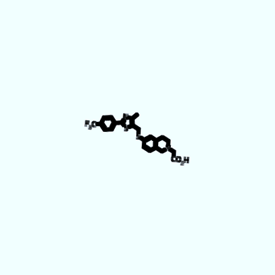 Cc1nc(-c2ccc(C(F)(F)F)cc2)sc1CSc1ccc2c(c1)CCN(CC(=O)O)C2